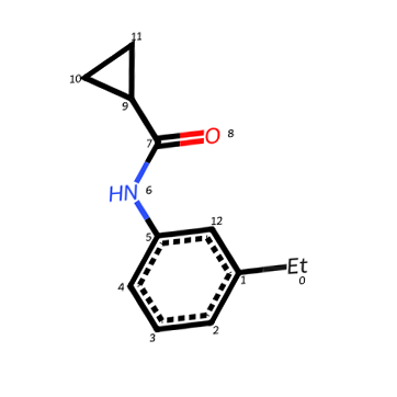 CCc1cccc(NC(=O)C2CC2)c1